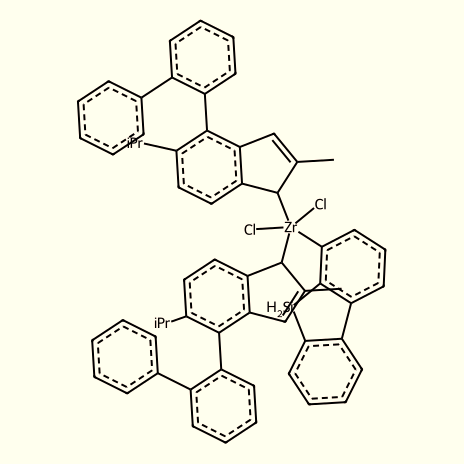 CC1=Cc2c(ccc(C(C)C)c2-c2ccccc2-c2ccccc2)[CH]1[Zr]([Cl])([Cl])([c]1cccc2c1[SiH2]c1ccccc1-2)[CH]1C(C)=Cc2c1ccc(C(C)C)c2-c1ccccc1-c1ccccc1